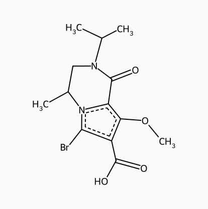 COc1c(C(=O)O)c(Br)n2c1C(=O)N(C(C)C)CC2C